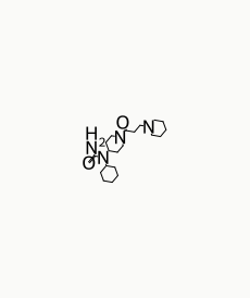 NC(=O)N(C1CCCCC1)C1CCN(C(=O)CCN2CCCCC2)CC1